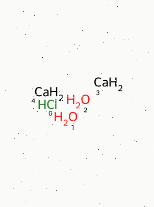 Cl.O.O.[CaH2].[CaH2]